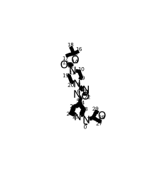 CN(c1cc(-c2nc(N3CCN(C(=O)OC(C)(C)C)CC3)no2)ccn1)C1COC1